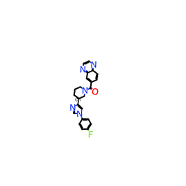 O=C(c1ccc2nccnc2c1)N1CCC[C@H](c2cn(-c3ccc(F)cc3)cn2)C1